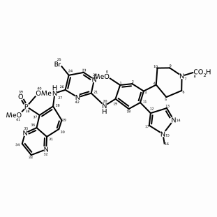 COc1cc(C2CCN(C(=O)O)CC2)c(-c2cnn(C)c2)cc1Nc1ncc(Br)c(Nc2ccc3nccnc3c2P(=O)(OC)OC)n1